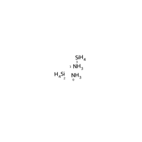 N.N.[SiH4].[SiH4]